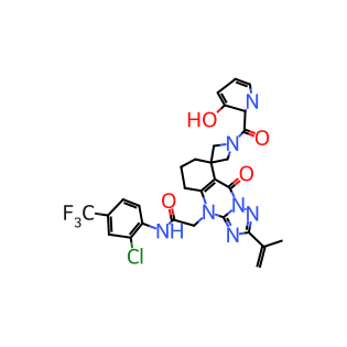 C=C(C)c1nc2n(CC(=O)Nc3ccc(C(F)(F)F)cc3Cl)c3c(c(=O)n2n1)C1(CCC3)CN(C(=O)c2ncccc2O)C1